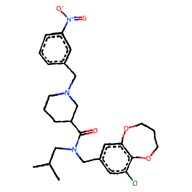 CC(C)CN(Cc1cc(Cl)c2c(c1)OCCCO2)C(=O)C1CCCN(Cc2cccc([N+](=O)[O-])c2)C1